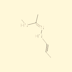 C/C=C/N/N=C(/C)NC